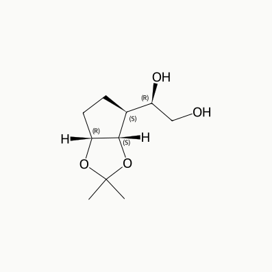 CC1(C)O[C@H]2[C@H]([C@@H](O)CO)CC[C@H]2O1